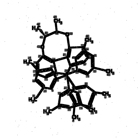 Cc1cc(C)cc(P(c2cc(C)cc(C)c2)c2cccc3c2-c2c(cccc2P(c2cc(C)cc(C)c2)c2cc(C)cc(C)c2)O[C@H](C)C(C)O3)c1